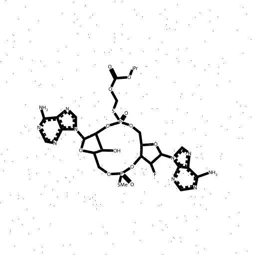 CSP1(=O)OCC2OC(n3cnc4c(N)ncnc43)C(OP(=O)(SCOC(=O)OC(C)C)OCC3OC(n4cnc5c(N)ncnc54)C(F)C3O1)C2O